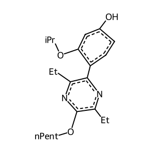 CCCCCOc1nc(CC)c(-c2ccc(O)cc2OC(C)C)nc1CC